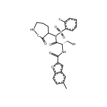 Cc1ccc2oc(C(=O)N[C@@H](CC(C)C)C(=O)N(C3CCCNCC3=O)S(=O)(=O)c3ccccc3F)cc2c1